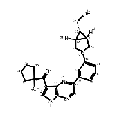 CC1(C(=O)c2c[nH]c3ncc(-c4cccc(N5C[C@@H]6[C@H](CO)[C@@H]6C5)c4)nc23)CCCC1